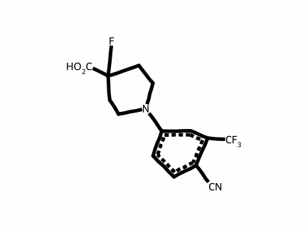 N#Cc1ccc(N2CCC(F)(C(=O)O)CC2)cc1C(F)(F)F